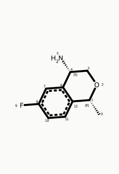 C[C@H]1OC[C@@H](N)c2cc(F)ccc21